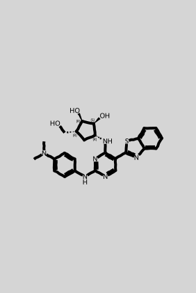 CN(C)c1ccc(Nc2ncc(-c3nc4ccccc4s3)c(N[C@@H]3C[C@H](CO)[C@@H](O)[C@H]3O)n2)cc1